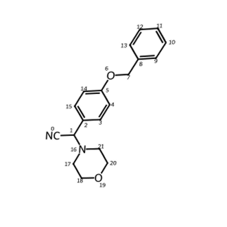 N#CC(c1ccc(OCc2ccccc2)cc1)N1CCOCC1